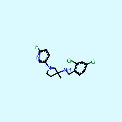 CC1(NCc2ccc(Cl)cc2Cl)CCN(c2ccc(F)nc2)C1